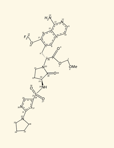 COCOC(=O)[C@@H](Cc1cc2ccnc(N)c2cc1OC(F)(F)F)N1CC[C@H](NS(=O)(=O)c2cnc(N3CCCC3)s2)C1=O